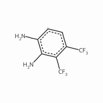 Nc1[c]cc(C(F)(F)F)c(C(F)(F)F)c1N